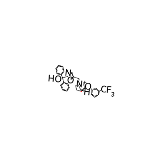 OC(c1ccccc1)(c1ccccc1)c1ncc(C[N+]23CCC(CC2)[C@@H](Oc2cccc(C(F)(F)F)c2)C3)o1